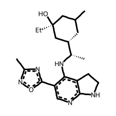 CC[C@]1(O)CC(C)C[C@H]([C@H](C)Nc2c(-c3nc(C)no3)cnc3c2CCN3)C1